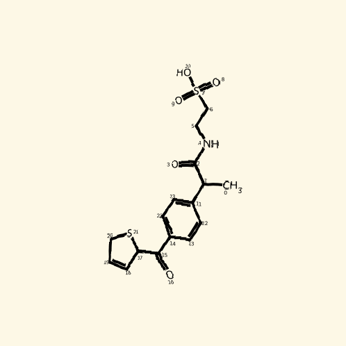 CC(C(=O)NCCS(=O)(=O)O)c1ccc(C(=O)C2C=CCS2)cc1